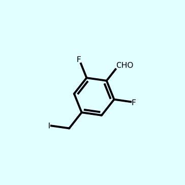 O=Cc1c(F)cc(CI)cc1F